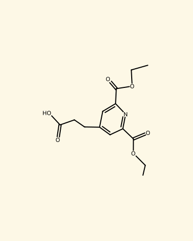 CCOC(=O)c1cc(CCC(=O)O)cc(C(=O)OCC)n1